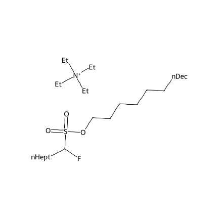 CCCCCCCCCCCCCCCCOS(=O)(=O)C(F)CCCCCCC.CC[N+](CC)(CC)CC